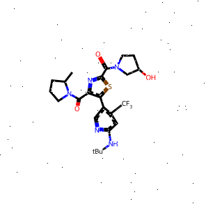 CC1CCCN1C(=O)c1nc(C(=O)N2CCC(O)C2)sc1-c1cnc(NC(C)(C)C)cc1C(F)(F)F